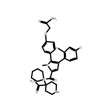 Cn1c(C(=O)[N+]2(C3(C(N)=O)CCNCC3)CCCCC2)cc(-c2ccc(Cl)cc2Cl)c1-c1ccc(OCC(N)=O)cc1